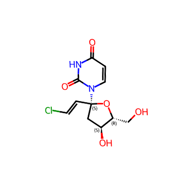 O=c1ccn([C@@]2(C=CCl)C[C@H](O)[C@@H](CO)O2)c(=O)[nH]1